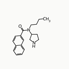 CCCCN(C(=O)c1ccc2ccccc2c1)C1CCNC1